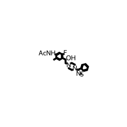 CC(=O)Nc1cc(F)c(C(O)CN2CCN(c3nsc4ccccc34)CC2)cc1C